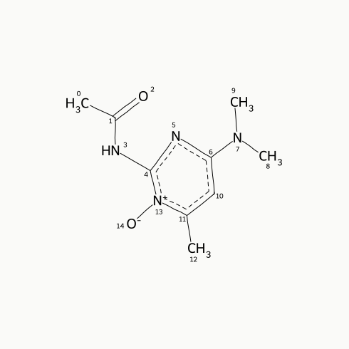 CC(=O)Nc1nc(N(C)C)cc(C)[n+]1[O-]